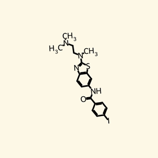 CN(C)CCN(C)c1nc2ccc(NC(=O)c3ccc(I)cc3)cc2s1